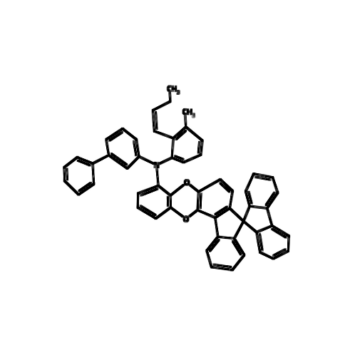 CC/C=C\c1c(C)cccc1N(c1cccc(-c2ccccc2)c1)c1cccc2c1Oc1ccc3c(c1O2)-c1ccccc1C31c2ccccc2-c2ccccc21